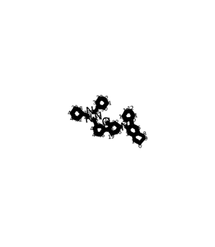 C1=Cc2cc3c(cc2CC1)c1ccccc1n3-c1ccc2c(c1)oc1c(-c3nc(-c4ccccc4)nc(-c4ccccc4)n3)cccc12